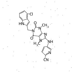 Cn1c(Nc2ccc(C#N)nc2)nc2c1c(=O)n(Cc1cc3c(Cl)cccc3[nH]1)c(=O)n2C